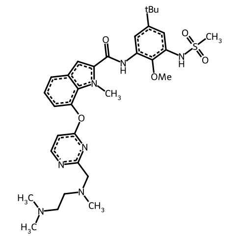 COc1c(NC(=O)c2cc3cccc(Oc4ccnc(CN(C)CCN(C)C)n4)c3n2C)cc(C(C)(C)C)cc1NS(C)(=O)=O